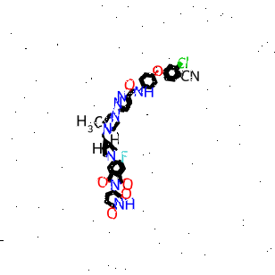 C[C@H]1CN(c2ccc(C(=O)N[C@H]3CC[C@H](Oc4ccc(C#N)c(Cl)c4)CC3)nn2)CCN1C[C@H]1[C@@H]2CN(c3cc4c(cc3F)C(=O)N(C3CCC(=O)NC3=O)C4=O)C[C@@H]21